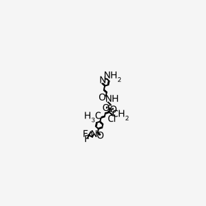 C=C(Cl)/C(=C\C=C(/C)c1ccc(C(=O)N2CC(F)(F)C2)cc1)S(=O)(=O)CCNC(=O)/C=C/c1ccc(N)nc1